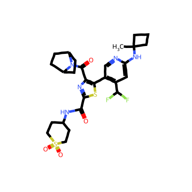 CC1(Nc2cc(C(F)F)c(-c3sc(C(=O)NC4CCS(=O)(=O)CC4)nc3C(=O)N3C4CCC3CC4)cn2)CCC1